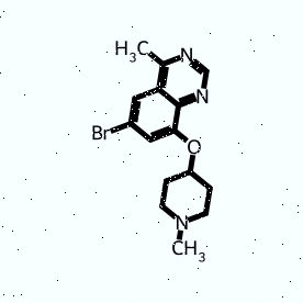 Cc1ncnc2c(OC3CCN(C)CC3)cc(Br)cc12